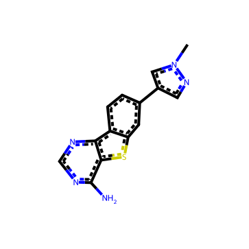 Cn1cc(-c2ccc3c(c2)sc2c(N)ncnc23)cn1